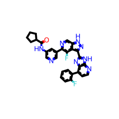 O=C(Nc1cncc(-c2ncc3[nH]nc(-c4nc5c(-c6ccccc6F)ccnc5[nH]4)c3c2F)c1)C1CCCC1